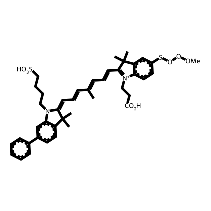 COOOSc1ccc2c(c1)C(C)(C)C(/C=C/C=C(C)/C=C/C=C1/N(CCCCS(=O)(=O)O)c3cc(-c4ccccc4)ccc3C1(C)C)=[N+]2CCC(=O)O